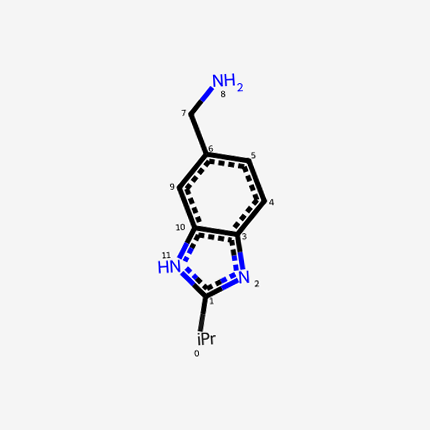 CC(C)c1nc2ccc(CN)cc2[nH]1